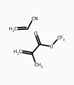 C=C(C)C(=O)OC(F)(F)F.C=CC#N